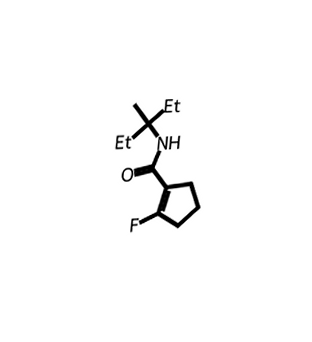 CCC(C)(CC)NC(=O)C1=C(F)CCC1